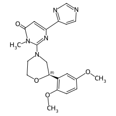 COc1ccc(OC)c([C@@H]2CN(c3nc(-c4ccncn4)cc(=O)n3C)CCO2)c1